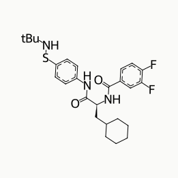 CC(C)(C)NSc1ccc(NC(=O)[C@H](CC2CCCCC2)NC(=O)c2ccc(F)c(F)c2)cc1